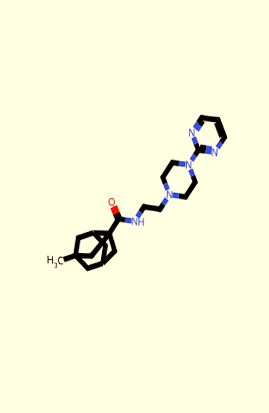 CC12CC3CC(C1)C(C(=O)NCCN1CCN(c4ncccn4)CC1)(C3)C2